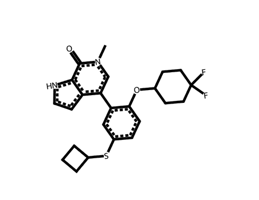 Cn1cc(-c2cc(SC3CCC3)ccc2OC2CCC(F)(F)CC2)c2cc[nH]c2c1=O